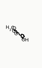 COC(=O)CC(=O)CCc1cccc(O)c1